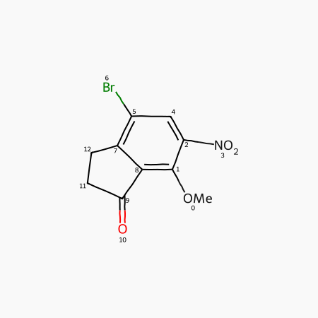 COc1c([N+](=O)[O-])cc(Br)c2c1C(=O)CC2